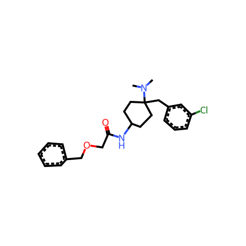 CN(C)C1(Cc2cccc(Cl)c2)CCC(NC(=O)COCc2ccccc2)CC1